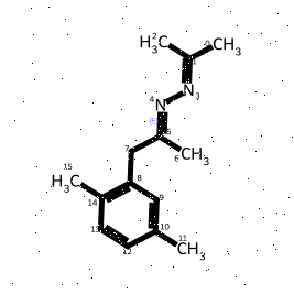 CC(C)=N/N=C(\C)Cc1cc(C)ccc1C